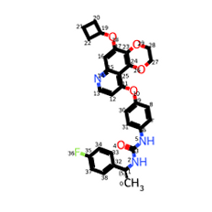 C[C@H](NC(=O)Nc1ccc(Oc2ccnc3cc(OC4CCC4)c4c(c23)OCCO4)cc1)c1ccc(F)cc1